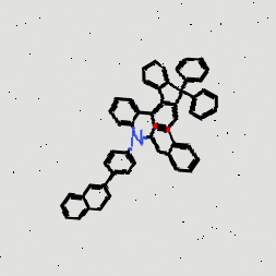 c1ccc(C2(c3ccccc3)c3ccccc3-c3c(-c4ccccc4N(c4ccc(-c5ccc6ccccc6c5)cc4)c4ccc5ccccc5c4)cccc32)cc1